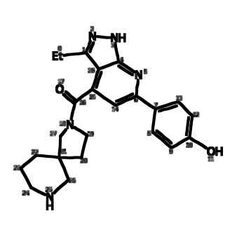 CCc1n[nH]c2nc(-c3ccc(O)cc3)cc(C(=O)N3CCC4(CCCNC4)C3)c12